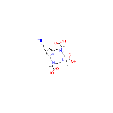 CNCCCc1cc2nc(c1)CN(C(C)C(=O)O)CCN(C(C)C(=O)O)CCN(C(C)C(=O)O)C2